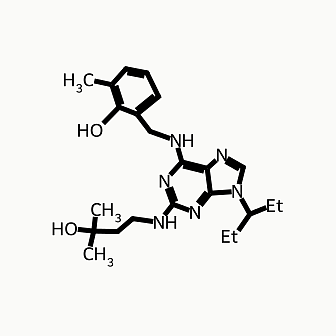 CCC(CC)n1cnc2c(NCc3cccc(C)c3O)nc(NCCC(C)(C)O)nc21